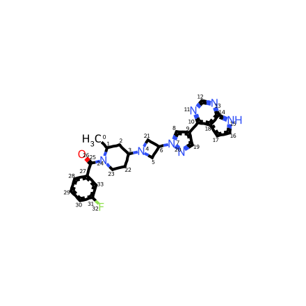 CC1CC(N2CC(n3cc(-c4ncnc5[nH]ccc45)cn3)C2)CCN1C(=O)c1cccc(F)c1